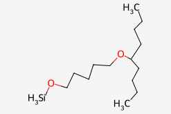 CCCCC(CCCC)OCCCCCO[SiH3]